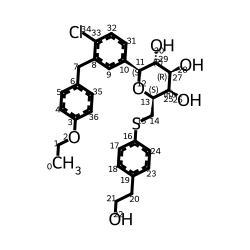 CCOc1ccc(Cc2cc([C@@H]3O[C@H](CSc4ccc(CCO)cc4)[C@H](O)[C@H](O)[C@H]3O)ccc2Cl)cc1